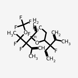 C=CC(F)(C(=C)C)C(CC)O[C@@](F)(C=C)C(F)(C(=C)C)C(C)(F)OC(F)(F)F